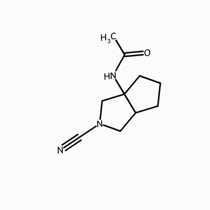 CC(=O)NC12CCCC1CN(C#N)C2